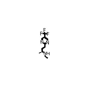 CCN[C@@H](C)CCc1ncc(C(F)(F)F)cn1